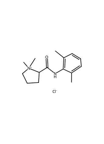 Cc1cccc(C)c1NC(=O)C1CCC[N+]1(C)C.[Cl-]